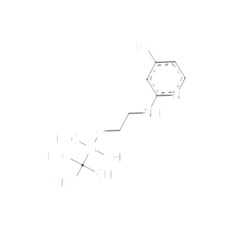 CC(C)(C)[Si](C)(C)OCCNc1cc(Br)ccn1